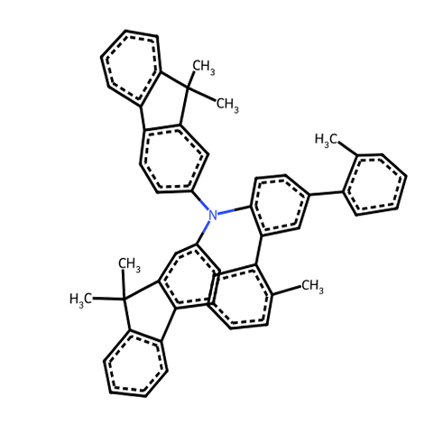 Cc1ccccc1-c1ccc(N(c2ccc3c(c2)C(C)(C)c2ccccc2-3)c2ccc3c(c2)C(C)(C)c2ccccc2-3)c(-c2ccccc2C)c1